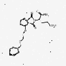 NC(=O)[C@H](CCC(=O)O)N1C(=O)c2cccc(OCCOCc3ccccc3)c2C1=O